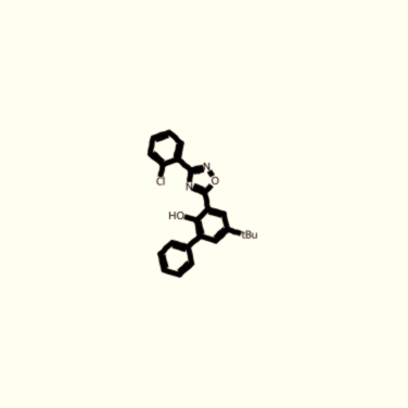 CC(C)(C)c1cc(-c2ccccc2)c(O)c(-c2nc(-c3ccccc3Cl)no2)c1